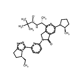 CC[C@H]1CCc2nnc(-c3cccc(N4Cc5c(cc(N6CCC[C@H]6C)nc5[C@@H](C)N[S+]([O-])C(C)(C)C)C4=O)n3)n21